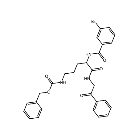 O=C(NCCCC(NC(=O)c1cccc(Br)c1)C(=O)NCC(=O)c1ccccc1)OCc1ccccc1